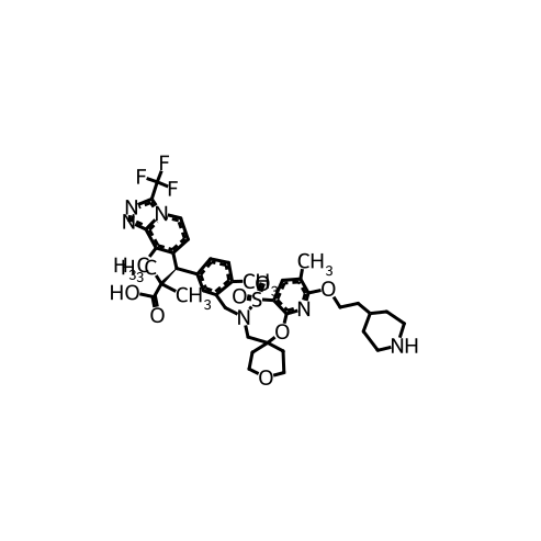 Cc1ccc([C@H](c2ccn3c(C(F)(F)F)nnc3c2C)C(C)(C)C(=O)O)cc1CN1CC2(CCOCC2)Oc2nc(OCCC3CCNCC3)c(C)cc2S1(=O)=O